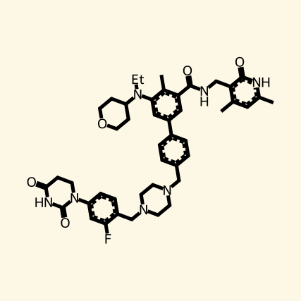 CCN(c1cc(-c2ccc(CN3CCN(Cc4ccc(N5CCC(=O)NC5=O)cc4F)CC3)cc2)cc(C(=O)NCc2c(C)cc(C)[nH]c2=O)c1C)C1CCOCC1